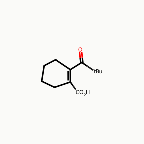 CC(C)(C)C(=O)C1=C(C(=O)O)CCCC1